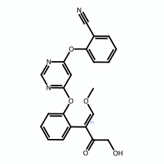 CO/C=C(/C(=O)CO)c1ccccc1Oc1cc(Oc2ccccc2C#N)ncn1